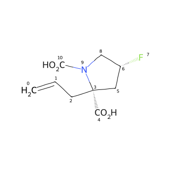 C=CC[C@]1(C(=O)O)C[C@@H](F)CN1C(=O)O